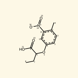 [CH2]c1ccc(OC(CC)C(=O)O)cc1[N+](=O)[O-]